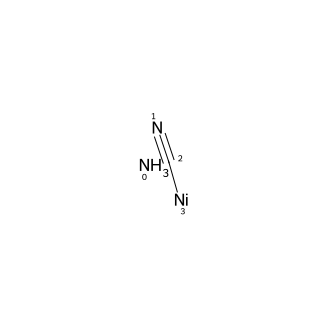 N.N#[C][Ni]